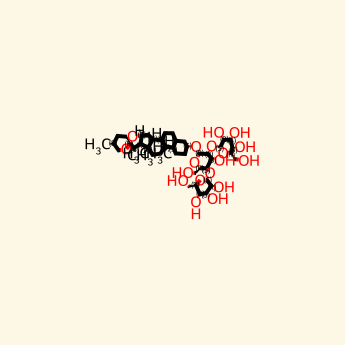 C[C@H]1CC[C@@]2(OC1)O[C@H]1C[C@H]3[C@@H]4CCC5C[C@@H](O[C@@H]6O[C@H](CO)[C@@H](O[C@@H]7O[C@H](CO)[C@@H](O)[C@H](O)[C@H]7O)[C@H](O)[C@H]6O[C@@H]6O[C@H](CO)[C@@H](O)[C@H](O)[C@H]6O)CC[C@]5(C)[C@H]4CC[C@]3(C)[C@H]1[C@@H]2C